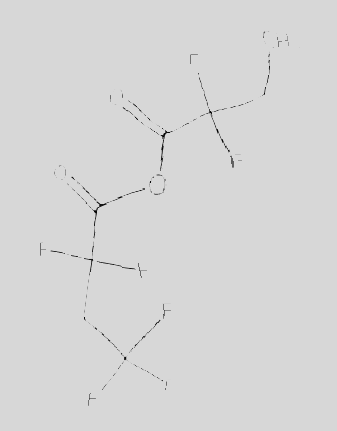 CCC(F)(F)C(=O)OC(=O)C(F)(F)CC(F)(F)F